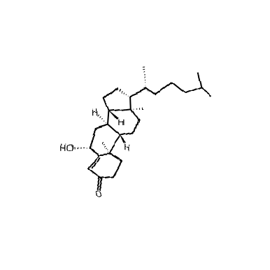 CC(C)CCC[C@@H](C)[C@H]1CC[C@H]2[C@@H]3C[C@@H](O)C4=CC(=O)CC[C@]4(C)[C@H]3CC[C@]12C